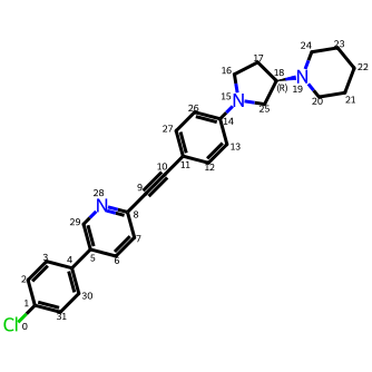 Clc1ccc(-c2ccc(C#Cc3ccc(N4CC[C@@H](N5CCCCC5)C4)cc3)nc2)cc1